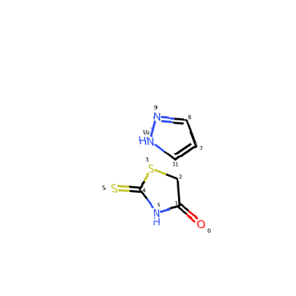 O=C1CSC(=S)N1.c1cn[nH]c1